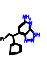 CC(C)CC(c1ccccc1)c1cc(N)nc2[nH]nnc12